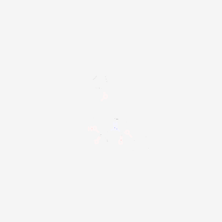 CC(COc1ccccc1)C[C@@H](C)CC(C)(NC(=O)OC(C)(C)C)C(=O)O